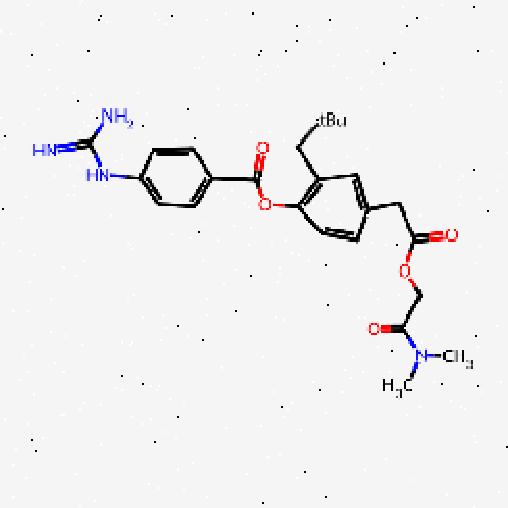 CN(C)C(=O)COC(=O)Cc1ccc(OC(=O)c2ccc(NC(=N)N)cc2)c(CC(C)(C)C)c1